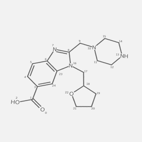 O=C(O)c1ccc2nc(CN3CCNCC3)n(CC3CCCO3)c2c1